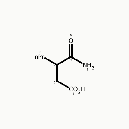 CCCC(CC(=O)O)C(N)=O